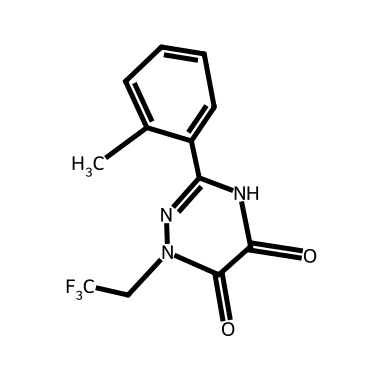 Cc1ccccc1-c1nn(CC(F)(F)F)c(=O)c(=O)[nH]1